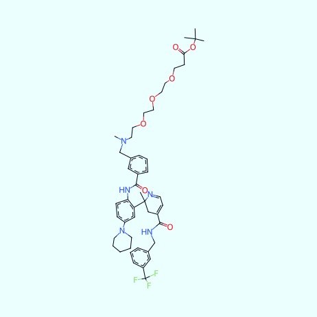 CN(CCOCCOCCOCCC(=O)OC(C)(C)C)Cc1cccc(C(=O)Nc2ccc(N3CCCCC3)cc2C2(C)CC(C(=O)NCc3cccc(C(F)(F)F)c3)=CC=N2)c1